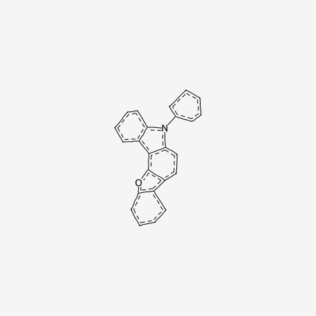 c1ccc(-n2c3ccccc3c3c4oc5ccccc5c4ccc32)cc1